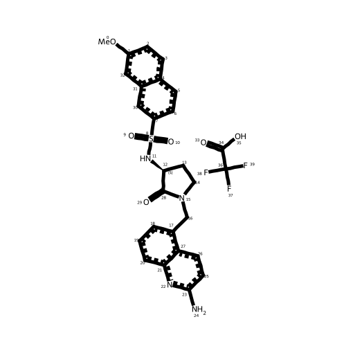 COc1ccc2ccc(S(=O)(=O)N[C@H]3CCN(Cc4cccc5nc(N)ccc45)C3=O)cc2c1.O=C(O)C(F)(F)F